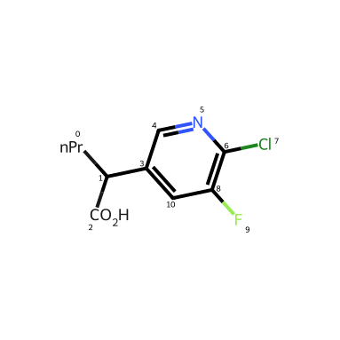 CCCC(C(=O)O)c1cnc(Cl)c(F)c1